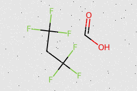 FC(F)(F)CC(F)(F)F.O=CO